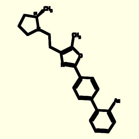 CC(=O)c1ccccc1-c1ccc(-c2nc(CCN3CCC[C@H]3C)c(C)o2)cc1